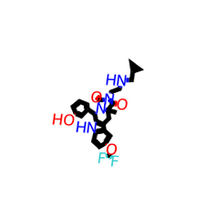 CC12Cc3c([nH]c4ccc(OC(F)F)cc34)C(c3cccc(O)c3)N1C(=O)N(CCNCC1CC1)C2=O